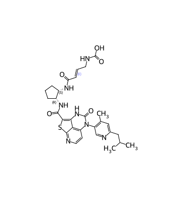 Cc1cc(CC(C)C)ncc1N1C(=O)Nc2c(C(=O)N[C@@H]3CCC[C@@H]3NC(=O)/C=C/CNC(=O)O)sc3nccc1c23